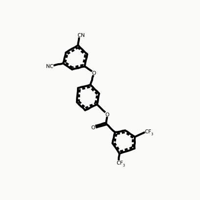 N#Cc1cc(C#N)cc(Oc2cccc(OC(=O)c3cc(C(F)(F)F)cc(C(F)(F)F)c3)c2)c1